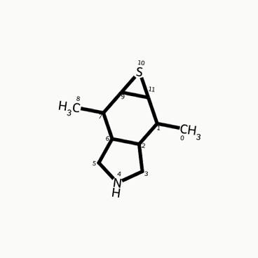 CC1C2CNCC2C(C)C2SC12